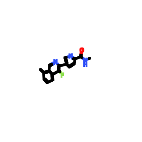 CNC(=O)c1ccc(-c2ncc3c(C)cccc3c2F)cn1